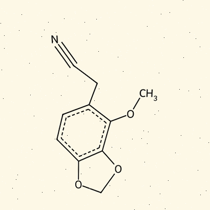 COc1c(CC#N)ccc2c1OCO2